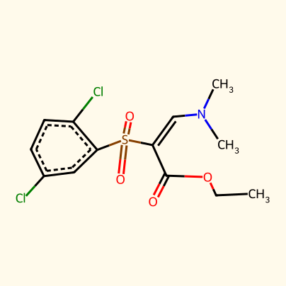 CCOC(=O)C(=CN(C)C)S(=O)(=O)c1cc(Cl)ccc1Cl